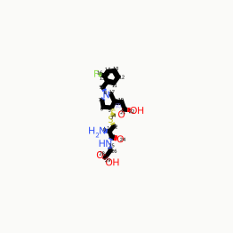 NC(CSSC1CCN(Cc2ccccc2F)C/C1=C/C(=O)O)C(=O)NCC(=O)O